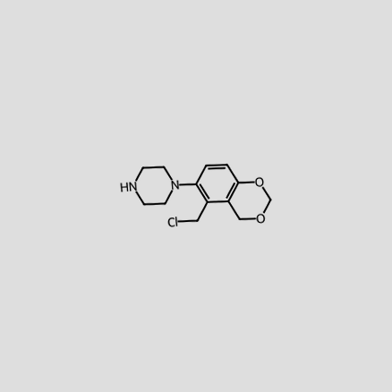 ClCc1c(N2CCNCC2)ccc2c1COCO2